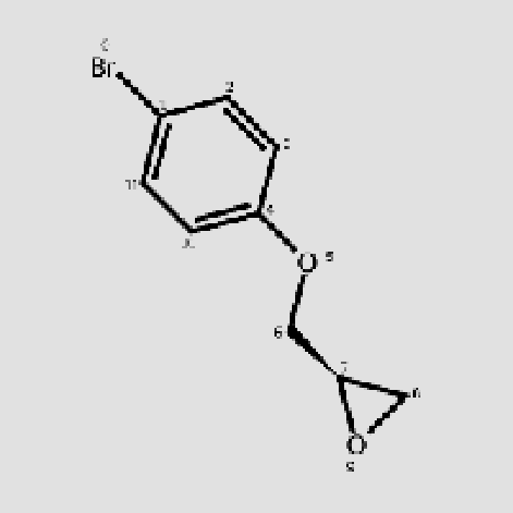 Brc1ccc(OC[C@H]2CO2)cc1